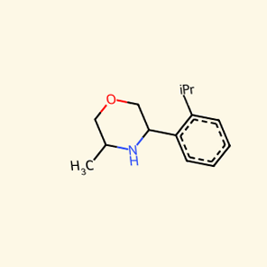 CC1COCC(c2ccccc2C(C)C)N1